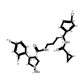 CC(C)(C)N1C[C@@H](C(=O)NCCC[C@H](NC(=O)C2CC2)c2ccc(Cl)cc2)[C@H](c2ccc(F)cc2F)C1